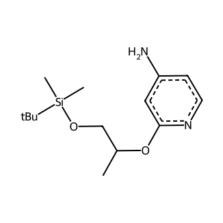 CC(CO[Si](C)(C)C(C)(C)C)Oc1cc(N)ccn1